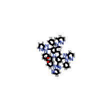 C=C(c1cc(-c2nc3cccnc3n2-c2ccccc2)cc2c1C=Cc1c(-c3nc4cccnc4n3-c3ccccc3)cc(-c3nc4cccnc4n3-c3ccccc3)cc1N2c1ccccc1)N(c1ccccc1)c1ncccc1C